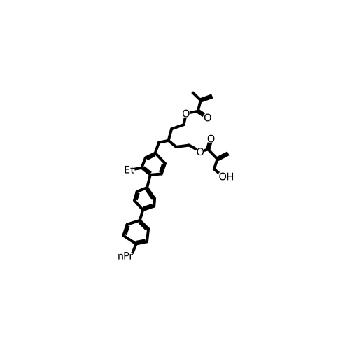 C=C(C)C(=O)OCCC(CCOC(=O)C(=C)CO)Cc1ccc(-c2ccc(-c3ccc(CCC)cc3)cc2)c(CC)c1